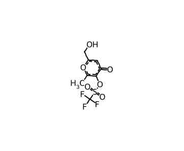 Cc1oc(CO)cc(=O)c1OS(=O)(=O)C(F)(F)F